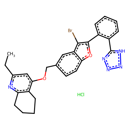 CCc1cc(OCc2ccc3oc(-c4ccccc4-c4nnn[nH]4)c(Br)c3c2)c2c(n1)CCCC2.Cl